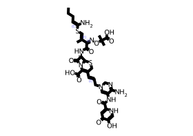 CCC/C=C(\N)S/C=C(C)/C(=N/OC(C)(C)C(=O)O)C(=O)N[C@@H]1C(=O)N2C(C(=O)O)=C(/C=C/CN3C=C(NC(=O)c4cc(=O)c(O)c[nH]4)C(N)=NC3)CSC12